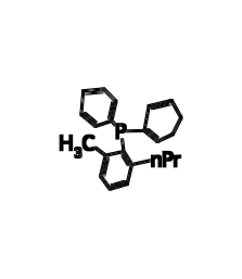 CCCc1cccc(C)c1P(C1=CCCC=C1)c1ccccc1